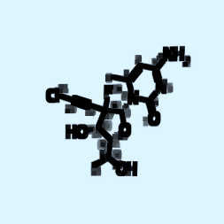 Cc1cc(N)nc(=O)n1[C@@H]1O[C@H]([C@H](C)O)[C@H](O)C1(F)C#CCl